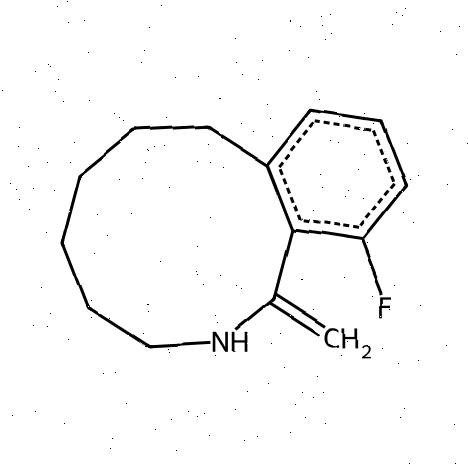 C=C1NCCCCCCc2cccc(F)c21